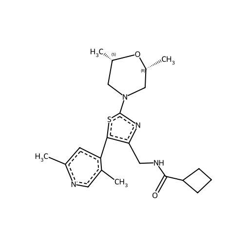 Cc1cc(-c2sc(N3C[C@@H](C)O[C@@H](C)C3)nc2CNC(=O)C2CCC2)c(C)cn1